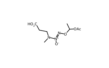 CC(=O)OC(C)ON=[N+]([O-])N(C)CCC(=O)O